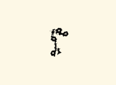 COC(=O)[C@H](Cc1ccc(OCCCN(C(=O)C2CC2)c2cccc(F)c2)cc1)Nc1ccccc1C(=O)c1ccccc1